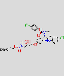 COCCOC(=O)NCC(O)CCOc1ccc([C@H]2c3[nH]c4ccc(Cl)cc4c3CCN2C(=O)Oc2ccc(Cl)cc2)cc1